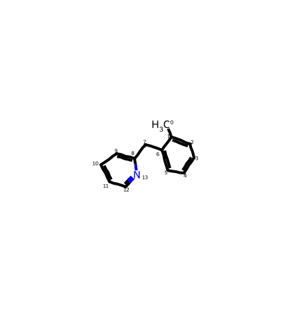 Cc1ccccc1[CH]c1ccccn1